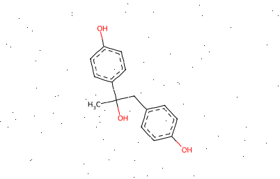 CC(O)(Cc1ccc(O)cc1)c1ccc(O)cc1